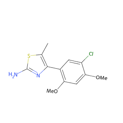 COc1cc(OC)c(-c2nc(N)sc2C)cc1Cl